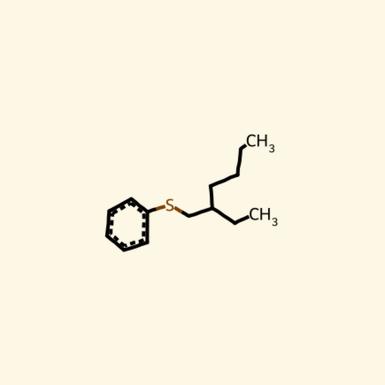 CCCCC(CC)CSc1ccccc1